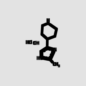 Cc1nc(C2CCNCC2)c[nH]1.Cl.Cl